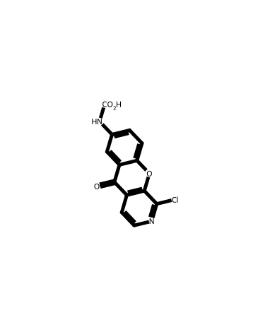 O=C(O)Nc1ccc2oc3c(Cl)nccc3c(=O)c2c1